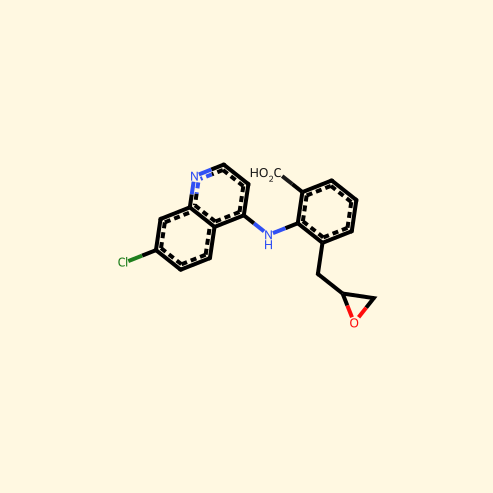 O=C(O)c1cccc(CC2CO2)c1Nc1ccnc2cc(Cl)ccc12